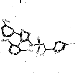 COc1cccc(-c2nnc(NS(=O)(=O)CC(O)c3ccc(C#N)cn3)n2-c2c(OC)cccc2OC)n1